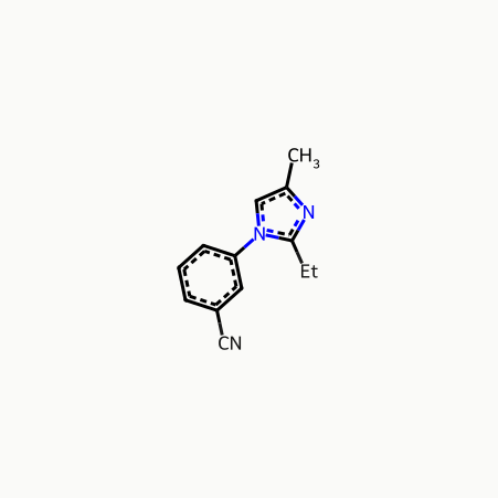 [CH2]Cc1nc(C)cn1-c1cccc(C#N)c1